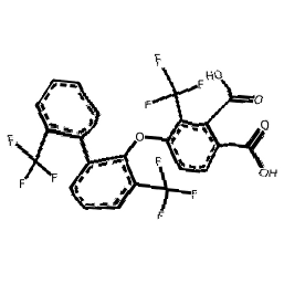 O=C(O)c1ccc(Oc2c(-c3ccccc3C(F)(F)F)cccc2C(F)(F)F)c(C(F)(F)F)c1C(=O)O